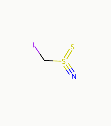 N#S(=S)CI